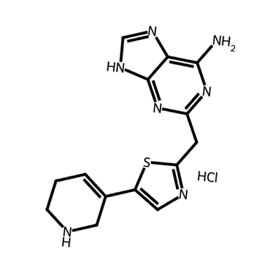 Cl.Nc1nc(Cc2ncc(C3=CCCNC3)s2)nc2[nH]cnc12